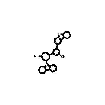 N#CC1=CC(n2c3c(c4ccccc42)C=CCC3)CC(c2cc(C#N)cc(-c3ccc4oc5c(c4c3)CCC=C5)c2)=CC1